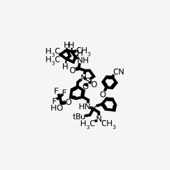 C[C@@H]1[C@@H](NC(=O)C2CCS(=O)(=O)N2Cc2cccc(CN[C@@](Cc3ccccc3Oc3ccc(C#N)cc3)(CN(C)C)CC(C)(C)C)c2)C[C@H]2C[C@@H]1C2(C)C.O=C(O)C(F)(F)F